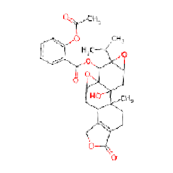 CC(=O)Oc1ccccc1C(=O)OC1C2(C(C)C)OC2CC2(O)C3(C)CCC4=C(COC4=O)C3CC3OC312